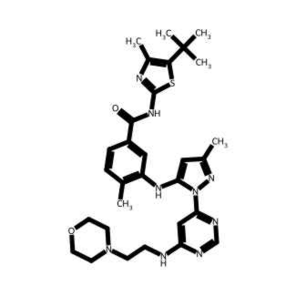 Cc1cc(Nc2cc(C(=O)Nc3nc(C)c(C(C)(C)C)s3)ccc2C)n(-c2cc(NCCN3CCOCC3)ncn2)n1